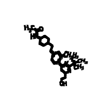 CC(=O)NC1CCC(CCN2CCN(c3cc(CCO)nc(C(C)(C)C)n3)[C@H](C)C2)CC1